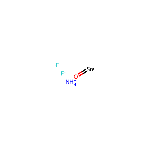 [F-].[F].[NH4+].[O]=[Sn]